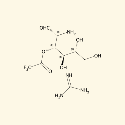 N=C(N)N.N[C@@H](C=O)[C@@H](OC(=O)C(F)(F)F)[C@H](O)[C@H](O)CO